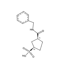 O=C(NCc1ccccc1)[C@H]1CC[C@@H](S(=O)(=O)O)C1